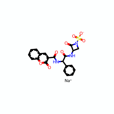 O=C(NC(C(=O)NC1CN(S(=O)(=O)[O-])C1=O)c1ccccc1)c1cc2ccccc2oc1=O.[Na+]